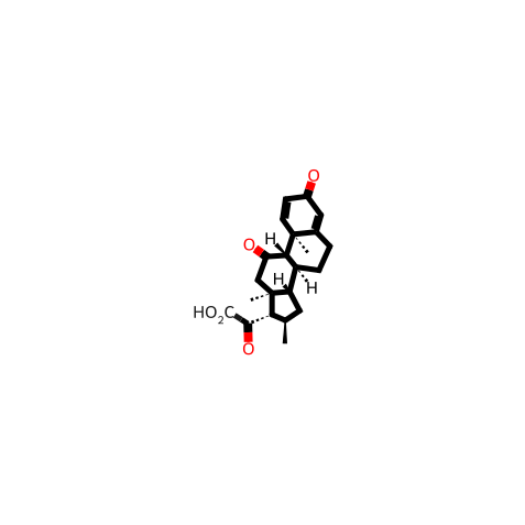 C[C@@H]1C[C@H]2[C@@H]3CCC4=CC(=O)C=C[C@]4(C)[C@H]3C(=O)C[C@]2(C)[C@H]1C(=O)C(=O)O